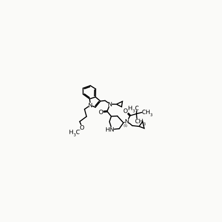 COCCCn1cc(CN(C(=O)C2CNC[C@@H](N(CC3CC3)C(=O)C(C)(C)C)C2)C2CC2)c2ccccc21